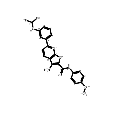 Nc1c(C(=O)Nc2ccc(OC(F)(F)F)cc2)sc2nc(-c3cccc(OC(F)F)c3)ccc12